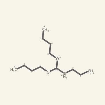 CC[CH][SiH2]C(OCCCC)OCCCC